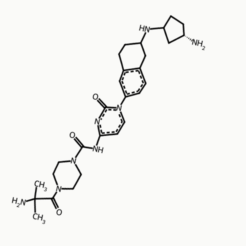 CC(C)(N)C(=O)N1CCN(C(=O)Nc2ccn(-c3ccc4c(c3)CCC(NC3CC[C@H](N)C3)C4)c(=O)n2)CC1